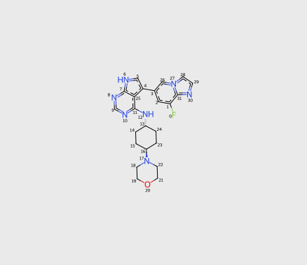 Fc1cc(-c2c[nH]c3ncnc(N[C@H]4CC[C@H](N5CCOCC5)CC4)c23)cn2ccnc12